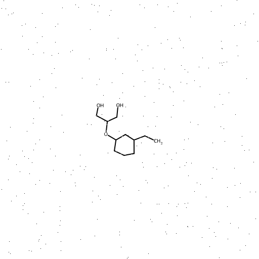 CCC1CCCC(OC(CO)CO)C1